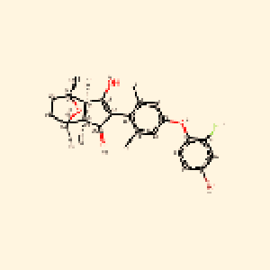 Cc1cc(Oc2ccc(Br)cc2F)cc(C)c1C1=C(O)[C@H]2[C@@H](C1=O)[C@@H]1CC[C@H]2O1